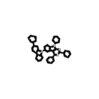 c1ccc(-c2ccc3c4ccccc4n(-c4ccc5c(c4)c4c(-c6ccccc6)nc(-c6ccccc6)nc4n5-c4ccccc4)c3c2)cc1